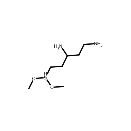 CO[SiH](CCC(N)CCN)OC